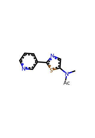 CC(=O)N(C)c1cnc(-c2cccnc2)s1